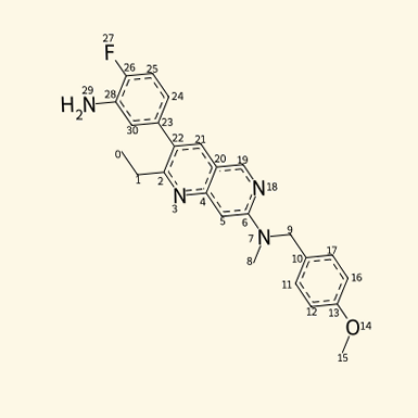 CCc1nc2cc(N(C)Cc3ccc(OC)cc3)ncc2cc1-c1ccc(F)c(N)c1